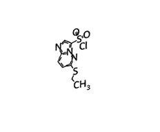 CCSc1ccc2ncc(S(=O)(=O)Cl)n2n1